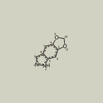 c1n[nH]c2cc3c(cc12)OCO3